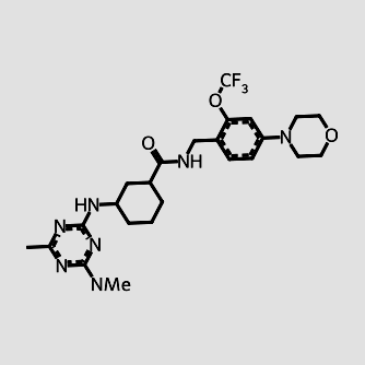 CNc1nc(C)nc(NC2CCCC(C(=O)NCc3ccc(N4CCOCC4)cc3OC(F)(F)F)C2)n1